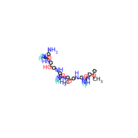 CCOC(c1ccccc1)c1cccc(NC(=O)c2cc(C(F)(F)F)nn2-c2cccc(CNc3ccc(C(OC)c4cccc(NC(=O)c5cc(C(F)(F)F)nn5-c5cccc(CNc6ccc(C(O)c7cccc(NC(=O)c8cc(C(F)(F)F)nn8-c8cccc(CN)c8)c7)cc6)c5)c4)cc3)c2)c1